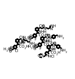 CC(CC(=O)NCCc1c[nH]cn1)c1cccc2c(-c3ccc(CS(C)(=O)=O)c(F)c3)c(C(=O)O)[nH]c12.CC(NC(=O)Nc1ccc(CN)cc1)c1cccc2c(-c3ccc(CS(C)(=O)=O)c(F)c3)c(C(=O)O)[nH]c12.CC(NC(=O)c1ccc(CN)cc1)c1cccc2c(-c3ccc(CN4CCOCC4)nc3)c(C(=O)O)[nH]c12.CC(c1cccc2c(-c3ccc(CS(C)(=O)=O)c(Cl)c3)c(C(=O)O)[nH]c12)n1cc(CCCN)nn1.Cl